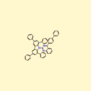 c1ccc(-c2ccc(-c3nc(-n4c5c(-c6ccccc6)cc(-c6ccccc6)cc5c5cc(-c6ccccc6)cc(-c6ccccc6)c54)nc4ccccc34)cc2)cc1